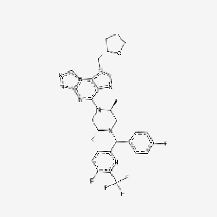 C[C@@H]1CN(c2nc3nncn3c3c2ncn3C[C@@H]2CCCO2)[C@@H](C)CN1C(c1ccc(F)cc1)c1ccc(F)c(C(F)(F)F)n1